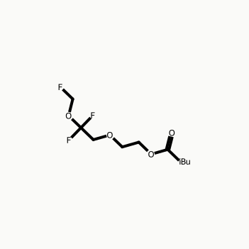 CCC(C)C(=O)OCCOCC(F)(F)OCF